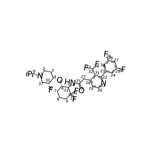 CC(C)N1CC[C@H](O[C@H]2CCCC(F)(F)[C@@H]2NC(=O)Cc2ccnc(-c3cc(F)cc(F)c3)c2C(F)F)[C@H](F)C1